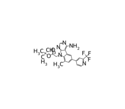 Cc1cc(-c2ccnc(C(F)(F)F)c2)cc2c3c(N)ncnc3n(CC(=O)OC(C)(C)C)c12